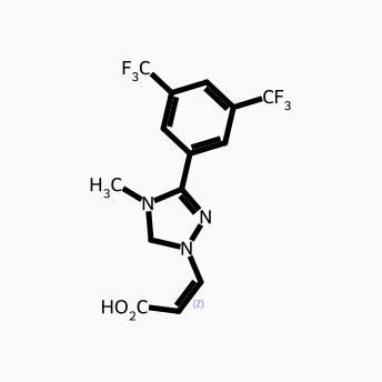 CN1CN(/C=C\C(=O)O)N=C1c1cc(C(F)(F)F)cc(C(F)(F)F)c1